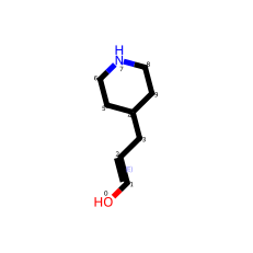 O/C=C/CC1CCNCC1